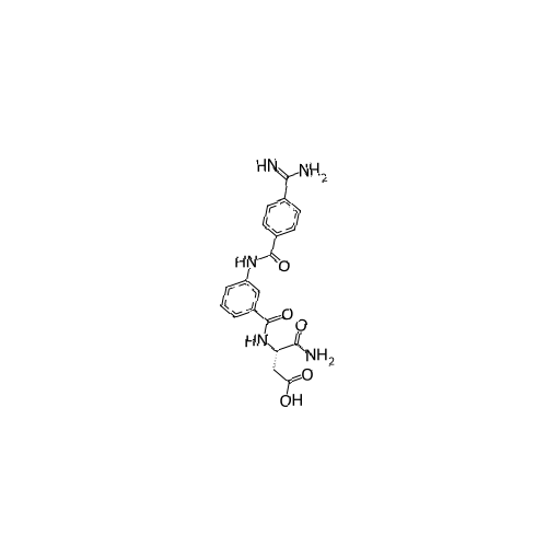 N=C(N)c1ccc(C(=O)Nc2cccc(C(=O)N[C@@H](CC(=O)O)C(N)=O)c2)cc1